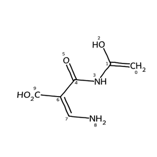 C=C(O)NC(=O)/C(=C\N)C(=O)O